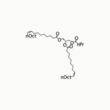 CCCCCCCC/C=C\CCCCCCCC(=O)OC[C@@H](COC(=O)CCC)OC(=O)CCCCCCC/C=C\CCCCCCCC